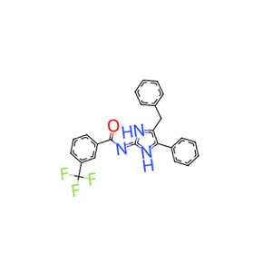 O=C(/N=c1\[nH]c(Cc2ccccc2)c(-c2ccccc2)[nH]1)c1cccc(C(F)(F)F)c1